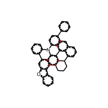 c1ccc(-c2ccc(N(c3ccccc3-c3ccc4c(c3)oc3ccccc34)c3ccccc3-c3cccc4cccc(C5CCCCC5)c34)cc2)cc1